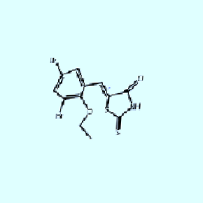 CCOc1c(Br)cc(Br)cc1/C=C1\SC(=S)NC1=O